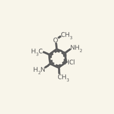 COc1c(N)cc(C)c(N)c1C.Cl